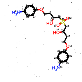 Nc1ccc(OCCC(O)CS(=O)(=O)CC(O)CCOc2ccc(N)cc2)cc1